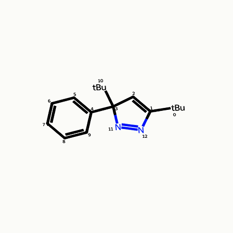 CC(C)(C)C1=CC(c2cc[c]cc2)(C(C)(C)C)N=N1